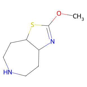 COC1=NC2CCNCCC2S1